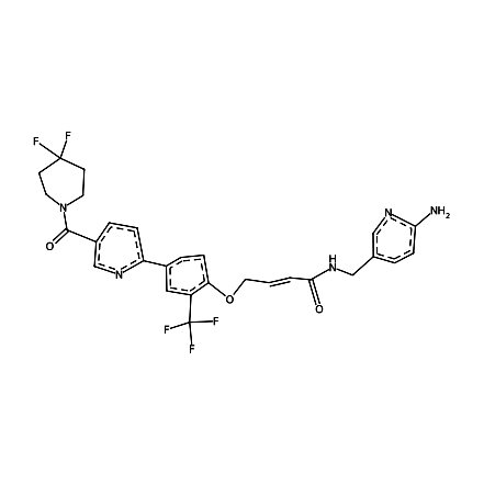 Nc1ccc(CNC(=O)C=CCOc2ccc(-c3ccc(C(=O)N4CCC(F)(F)CC4)cn3)cc2C(F)(F)F)cn1